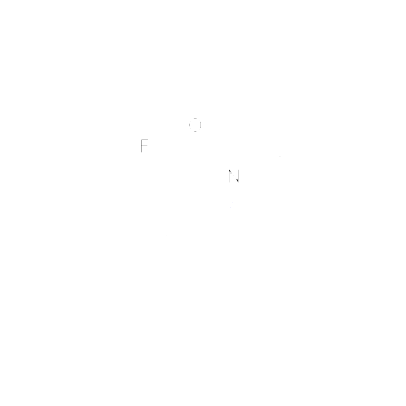 CC(C)(C)/[N+]([O-])=C/c1ccccc1F